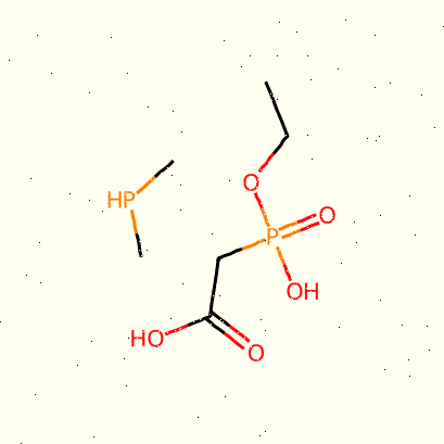 CCOP(=O)(O)CC(=O)O.CPC